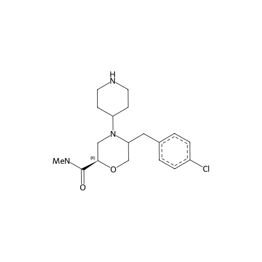 CNC(=O)[C@H]1CN(C2CCNCC2)C(Cc2ccc(Cl)cc2)CO1